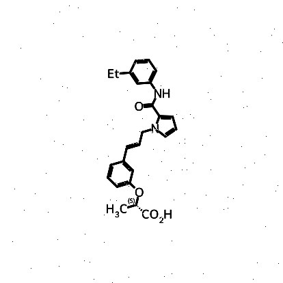 CCc1cccc(NC(=O)c2cccn2CC=Cc2cccc(O[C@@H](C)C(=O)O)c2)c1